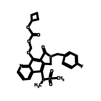 CN(c1c2c(c(OCOC(=O)OC3CCC3)c3ncccc13)C(=O)N(Cc1ccc(F)cc1)C2)S(C)(=O)=O